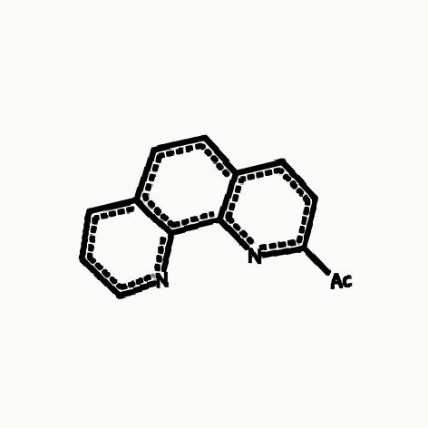 CC(=O)c1ccc2ccc3cccnc3c2n1